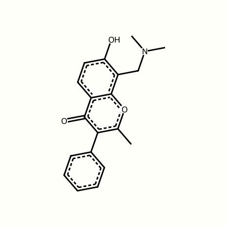 Cc1oc2c(CN(C)C)c(O)ccc2c(=O)c1-c1ccccc1